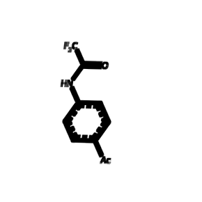 [CH2]C(=O)c1ccc(NC(=O)C(F)(F)F)cc1